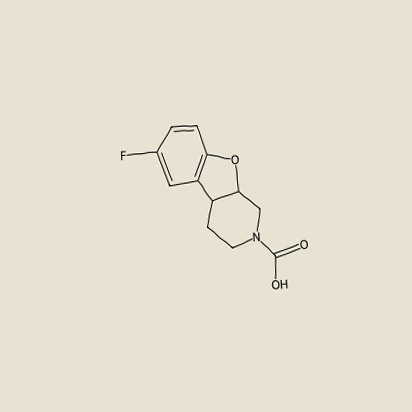 O=C(O)N1CCC2c3cc(F)ccc3OC2C1